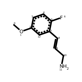 COc1ccc(F)c(/C=C/CN)c1